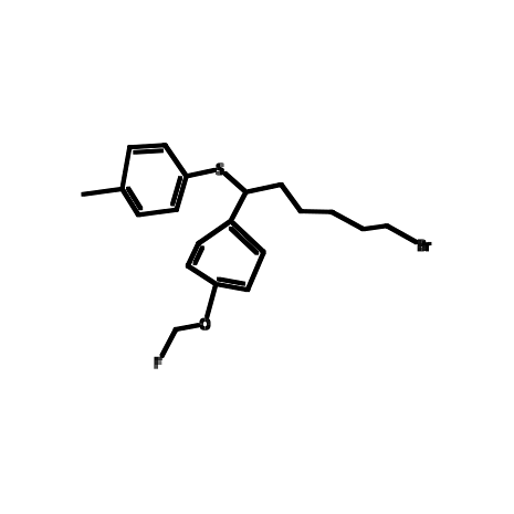 Cc1ccc(SC(CCCCCBr)c2ccc(OCF)cc2)cc1